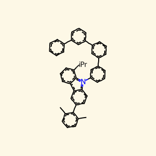 Cc1cccc(C)c1-c1ccc2c(c1)c1cccc(C(C)C)c1n2-c1cccc(-c2cccc(-c3cccc(-c4ccccc4)c3)c2)c1